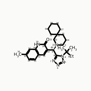 CCC(C)(C)n1nnnc1[C@@H](c1cc2ccc(C)cc2[nH]c1=O)N1CCCC2(CCCCC2)C1